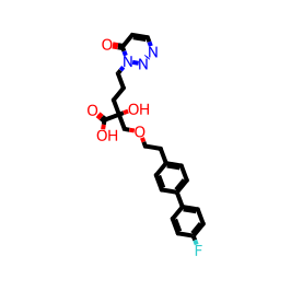 O=C(O)C(O)(CCCn1nnccc1=O)COCCc1ccc(-c2ccc(F)cc2)cc1